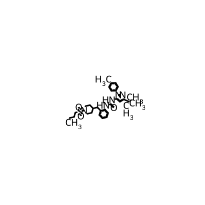 CCCCS(=O)(=O)N1CCC(Cc2ccccc2NC(=O)Nc2cc(C(C)(C)C)nn2-c2ccc(C)cc2)CC1